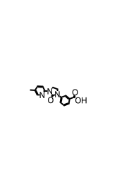 Cc1ccc(N2CCN(c3cccc(C(=O)O)c3)C2=O)nc1